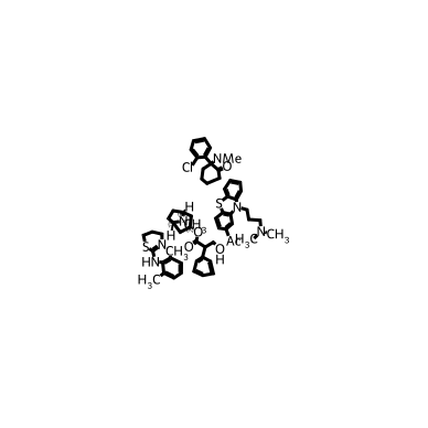 CC(=O)c1ccc2c(c1)N(CCCN(C)C)c1ccccc1S2.CN1[C@@H]2CC[C@H]1C[C@@H](OC(=O)C(CO)c1ccccc1)C2.CNC1(c2ccccc2Cl)CCCCC1=O.Cc1cccc(C)c1NC1=NCCCS1